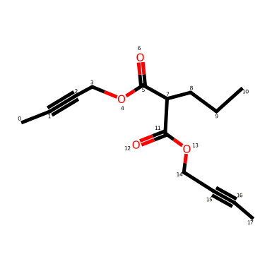 CC#CCOC(=O)C(CCC)C(=O)OCC#CC